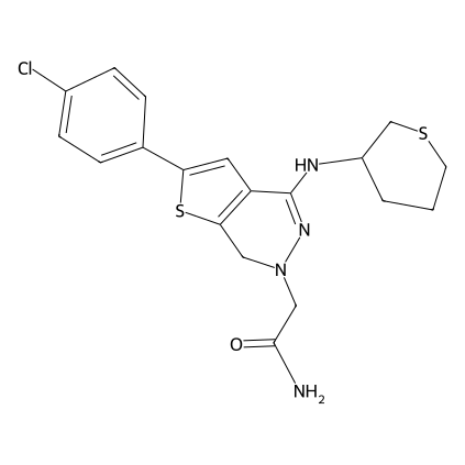 NC(=O)CN1Cc2sc(-c3ccc(Cl)cc3)cc2C(NC2CCCSC2)=N1